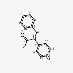 CC(=O)N(Cc1ccccc1)c1ccncc1